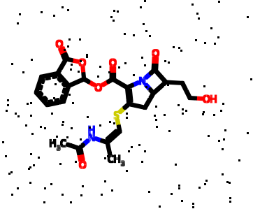 CC(=O)NC(C)=CSC1=C(C(=O)OC2OC(=O)c3ccccc32)N2C(=O)C(CCO)C2C1